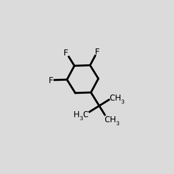 CC(C)(C)C1CC(F)C(F)C(F)C1